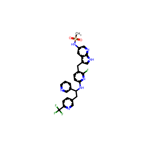 CS(=O)(=O)Nc1cnc2[nH]cc(Cc3ccc(NC(Cc4ccc(C(F)(F)F)nc4)c4cccnc4)nc3F)c2c1